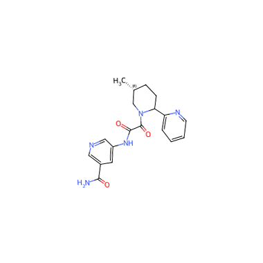 C[C@@H]1CCC(c2ccccn2)N(C(=O)C(=O)Nc2cncc(C(N)=O)c2)C1